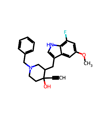 C#CC1(O)CCN(Cc2ccccc2)CC1Cc1c[nH]c2c(F)cc(OC)cc12